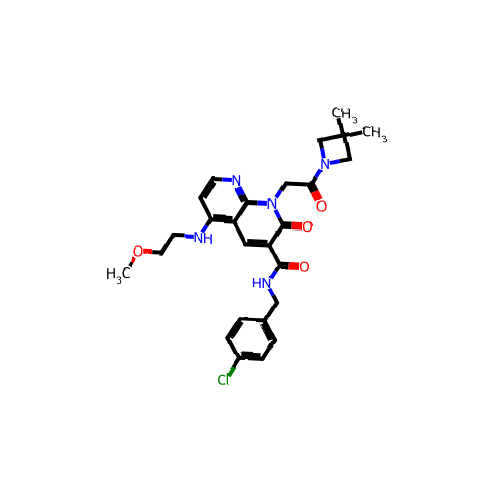 COCCNc1ccnc2c1cc(C(=O)NCc1ccc(Cl)cc1)c(=O)n2CC(=O)N1CC(C)(C)C1